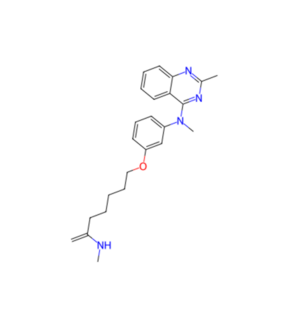 C=C(CCCCCOc1cccc(N(C)c2nc(C)nc3ccccc23)c1)NC